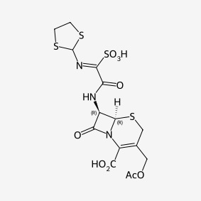 CC(=O)OCC1=C(C(=O)O)N2C(=O)[C@@H](NC(=O)C(=NC3SCCS3)S(=O)(=O)O)[C@H]2SC1